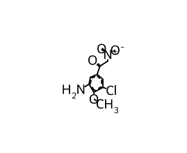 COc1c(N)cc(C(=O)C[N+](=O)[O-])cc1Cl